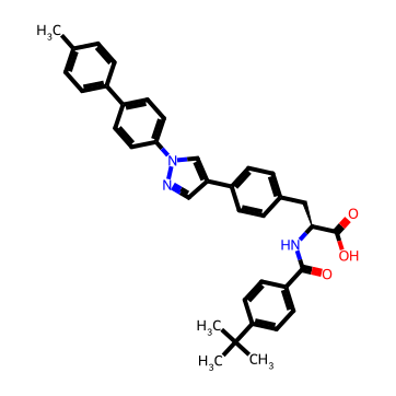 Cc1ccc(-c2ccc(-n3cc(-c4ccc(C[C@H](NC(=O)c5ccc(C(C)(C)C)cc5)C(=O)O)cc4)cn3)cc2)cc1